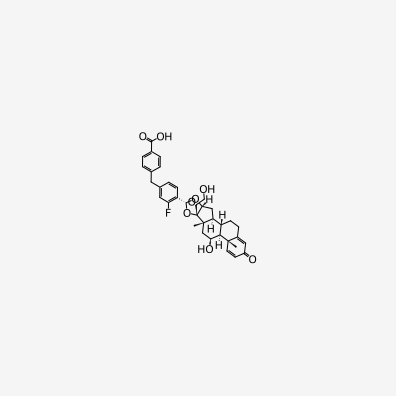 C[C@]12C=CC(=O)C=C1CC[C@@H]1[C@@H]2[C@@H](O)C[C@@]2(C)[C@H]1C[C@H]1O[C@@H](c3ccc(Cc4ccc(C(=O)O)cc4)cc3F)O[C@]12C(=O)CO